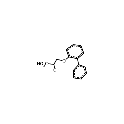 O=C(O)C(O)COc1ccccc1-c1ccccc1